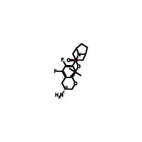 CC(C)(C)OC(=O)N1C2CCC1CN(c1cc3c(c(F)c1F)C[C@@H](N)CO3)C2